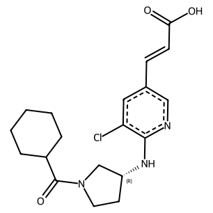 O=C(O)C=Cc1cnc(N[C@@H]2CCN(C(=O)C3CCCCC3)C2)c(Cl)c1